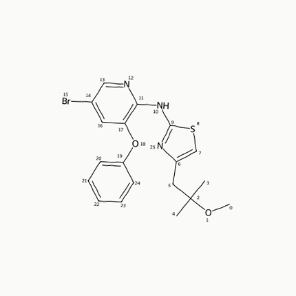 COC(C)(C)Cc1csc(Nc2ncc(Br)cc2Oc2ccccc2)n1